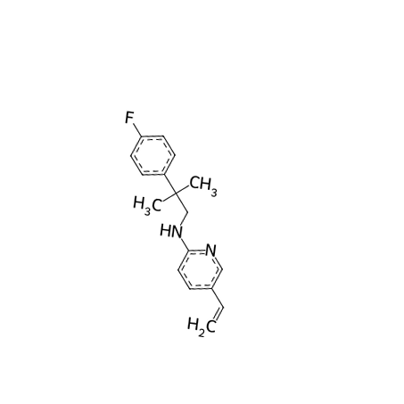 C=Cc1ccc(NCC(C)(C)c2ccc(F)cc2)nc1